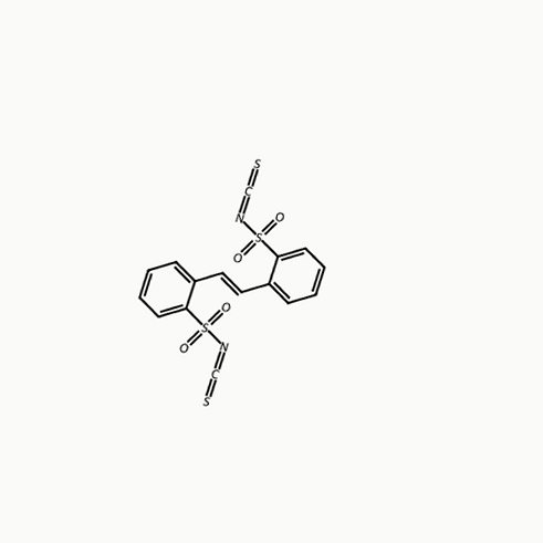 O=S(=O)(N=C=S)c1ccccc1C=Cc1ccccc1S(=O)(=O)N=C=S